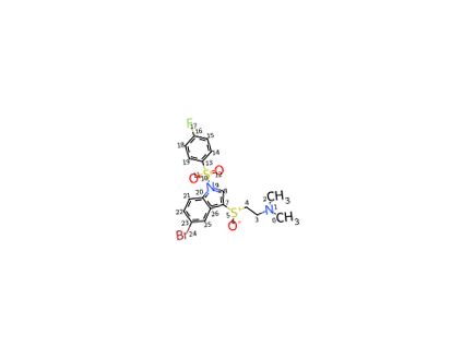 CN(C)CC[S+]([O-])c1cn(S(=O)(=O)c2ccc(F)cc2)c2ccc(Br)cc12